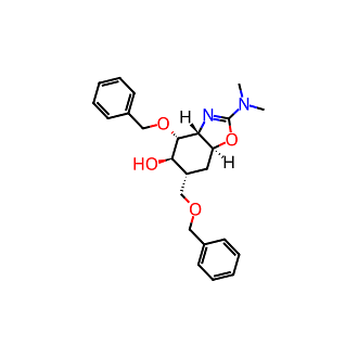 CN(C)C1=N[C@H]2[C@@H](OCc3ccccc3)[C@H](O)[C@@H](COCc3ccccc3)C[C@@H]2O1